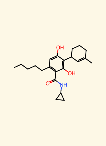 CCCCCc1cc(O)c(C2C=C(C)CCC2)c(O)c1C(=O)NC1CC1